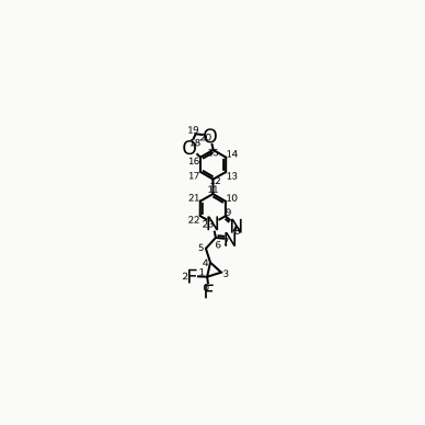 FC1(F)CC1Cc1nnc2cc(-c3ccc4c(c3)OCO4)ccn12